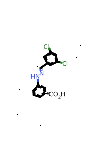 O=C(O)c1cccc(N/N=C/c2cc(Cl)cc(Cl)c2)c1